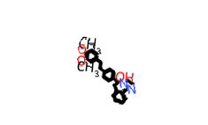 COc1ccc(CCc2ccc(C3(O)Cc4ccccc4C4=NCCN43)cc2)cc1OC